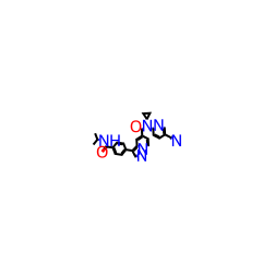 CC(C)NC(=O)c1ccc(-c2cnn3ccc(C(=O)N(c4ccc(C#N)cn4)C4CC4)cc23)cc1